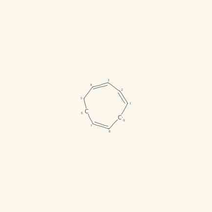 [CH]1/C=C\C=C/CC/C=C\1